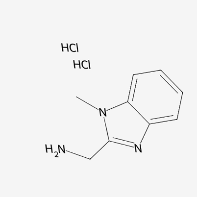 Cl.Cl.Cn1c(CN)nc2ccccc21